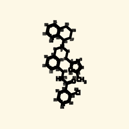 Cc1cnc(CCN(Cc2cccc(CNC(=O)c3ccncc3Cl)c2)C2CCCc3cccnc32)o1